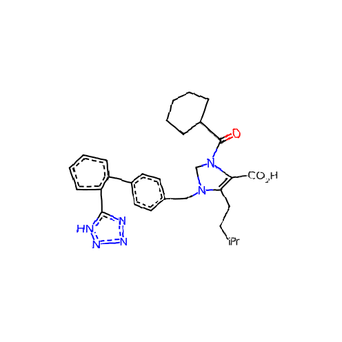 CC(C)CCC1=C(C(=O)O)N(C(=O)C2CCCCC2)CN1Cc1ccc(-c2ccccc2-c2nnn[nH]2)cc1